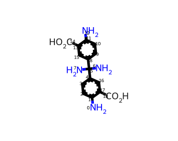 Nc1ccc(C(N)(N)c2ccc(N)c(C(=O)O)c2)cc1C(=O)O